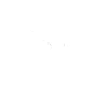 O=CCNC(=O)c1cc(Br)ccc1Br